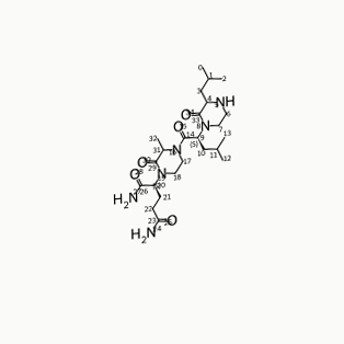 CC(C)CC1NCCN([C@@H](CC(C)C)C(=O)N2CCN([C@@H](CCC(N)=O)C(N)=O)C(=O)C2C)C1=O